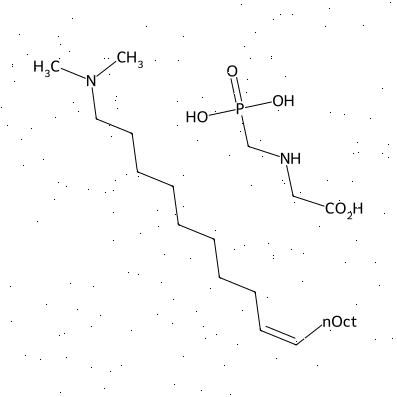 CCCCCCCC/C=C\CCCCCCCCN(C)C.O=C(O)CNCP(=O)(O)O